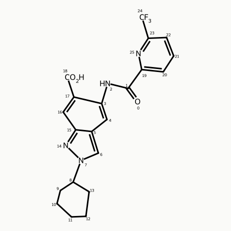 O=C(Nc1cc2cn(C3CCCCC3)nc2cc1C(=O)O)c1cccc(C(F)(F)F)n1